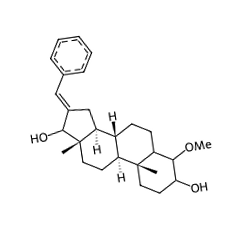 COC1C(O)CC[C@@]2(C)C1CC[C@@H]1[C@@H]2CC[C@]2(C)C(O)C(=Cc3ccccc3)C[C@@H]12